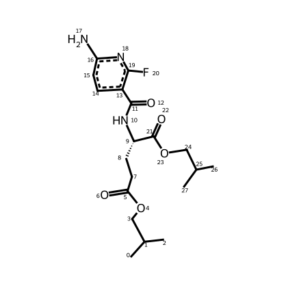 CC(C)COC(=O)CC[C@H](NC(=O)c1ccc(N)nc1F)C(=O)OCC(C)C